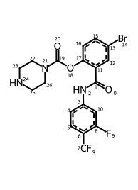 O=C(Nc1ccc(C(F)(F)F)c(F)c1)c1cc(Br)ccc1OC(=O)N1CCNCC1